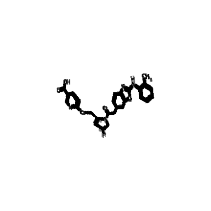 Cc1ccccc1Nc1nc2ccc(CC(=O)N3C[C@@H](F)C[C@H]3COc3ccc(C(=O)O)cn3)cc2o1